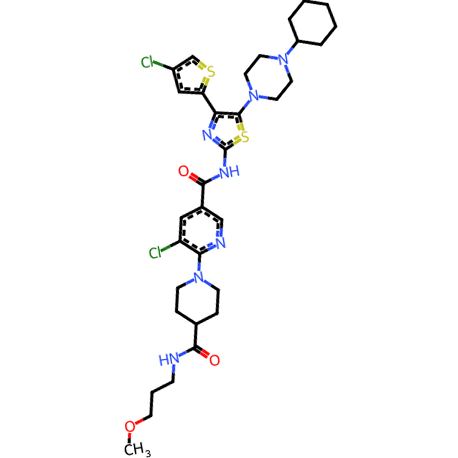 COCCCNC(=O)C1CCN(c2ncc(C(=O)Nc3nc(-c4cc(Cl)cs4)c(N4CCN(C5CCCCC5)CC4)s3)cc2Cl)CC1